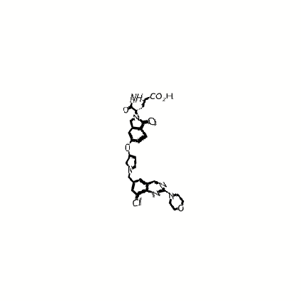 NC(=O)[C@H](CCC(=O)O)N1Cc2cc(O[C@H]3CCN(Cc4cc(Cl)c5nc(N6CCOCC6)ncc5c4)C3)ccc2C1=O